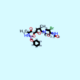 CC(C=O)NP(OCC1CC(C)C(N(C)/C=C(/Br)C(=O)NC=O)O1)Oc1ccccc1